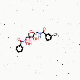 O=C(NC[C@H]1OC[C@@](O)(CN(O)C(=O)c2ccccc2)[C@@H]1O)c1cccc(C(F)(F)F)c1